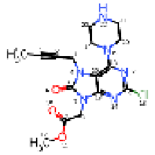 CC#CCn1c(=O)n(CC(=O)OC)c2nc(Cl)nc(N3CCNCC3)c21